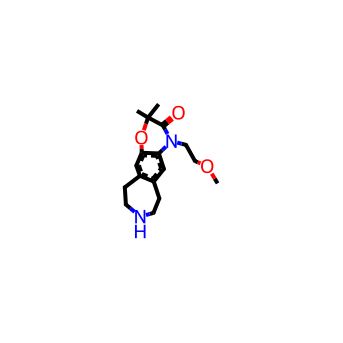 COCCN1C(=O)C(C)(C)Oc2cc3c(cc21)CCNCC3